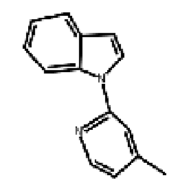 Cc1ccnc(-n2ccc3ccccc32)c1